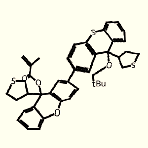 C=C(C)C(=O)OC1(C2CCSC2)c2ccccc2Oc2ccc(-c3ccc4c(c3)C(OCC(C)(C)C)(C3CCSC3)c3ccccc3S4)cc21